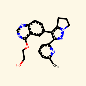 Cc1cccc(-c2nn3c(c2-c2ccc4ncnc(OCCO)c4c2)CCC3)n1